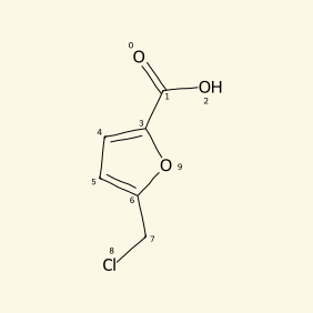 O=C(O)c1ccc(CCl)o1